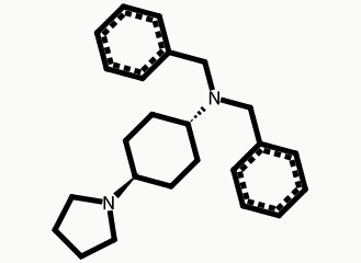 c1ccc(CN(Cc2ccccc2)[C@H]2CC[C@H](N3CCCC3)CC2)cc1